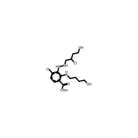 COC(=O)c1ccc(Cl)c(NNCC(Cl)CCO)c1NCCCCO